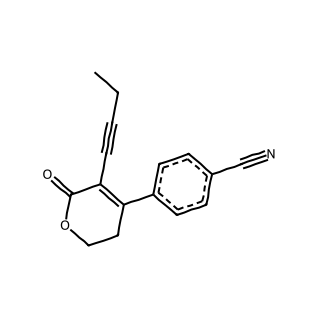 CCC#CC1=C(c2ccc(C#N)cc2)CCOC1=O